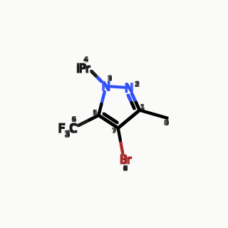 Cc1nn(C(C)C)c(C(F)(F)F)c1Br